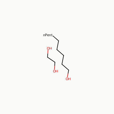 CCCCCCCCCCO.OCCO